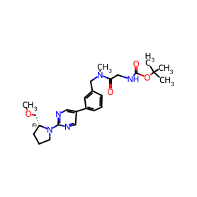 COC[C@H]1CCCN1c1ncc(-c2cccc(CN(C)C(=O)CNC(=O)OC(C)(C)C)c2)cn1